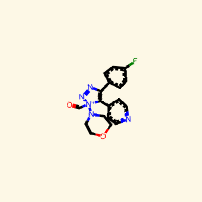 O=C[N+]1(N2CCOCC2)N=NC(c2ccc(F)cc2)=C1c1ccncc1